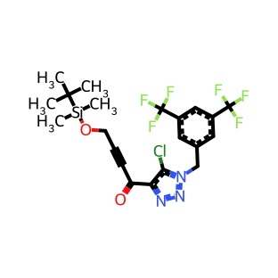 CC(C)(C)[Si](C)(C)OCC#CC(=O)c1nnn(Cc2cc(C(F)(F)F)cc(C(F)(F)F)c2)c1Cl